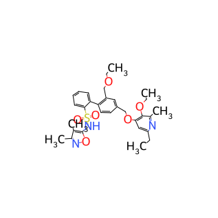 CCOCc1cc(COc2cc(CC)nc(C)c2OCC)ccc1-c1ccccc1S(=O)(=O)Nc1onc(C)c1C